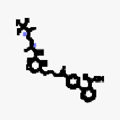 C/C(=C\C=C(/C)C(F)(F)F)NC(=O)NC(C=O)CCCN(C)c1ccc(-c2ccccc2C(=O)O)cc1